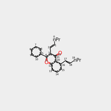 CCCC=Cc1c(-c2ccccc2)oc2cccc(C=CCCC)c2c1=O